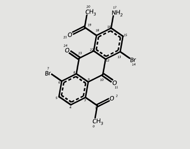 CC(=O)c1ccc(Br)c2c1C(=O)c1c(Br)cc(N)c(C(C)=O)c1C2=O